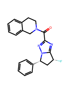 O=C(c1nc2n(n1)[C@@H](c1ccccc1)C[C@H]2F)N1CCc2ccccc2C1